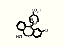 CC[N+]12CCC(C(=O)O)CC1[C@]21c2ccccc2CSc2ccc(Cl)cc21.Cl